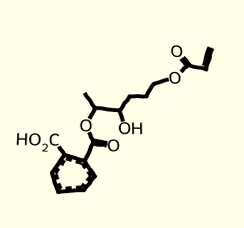 C=CC(=O)OCCCC(O)C(C)OC(=O)c1ccccc1C(=O)O